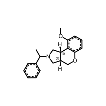 COc1cccc2c1[C@H]1CN(C(C)c3ccccc3)C[C@H]1CO2